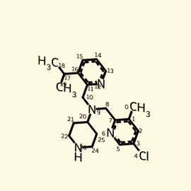 Cc1cc(Cl)cnc1CN(Cc1ncccc1C(C)C)C1CCNCC1